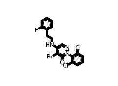 O=c1c(Br)c(NCCc2ccccc2F)cnn1-c1c(Cl)cccc1Cl